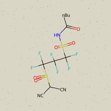 CCCCC(=O)NS(=O)(=O)C(F)(F)C(F)(F)C(F)(F)S(=O)(=O)C(C#N)C#N